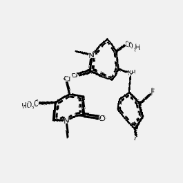 Cn1cc(C(=O)O)c(Cl)cc1=O.Cn1cc(C(=O)O)c(Nc2ccc(I)cc2F)cc1=O